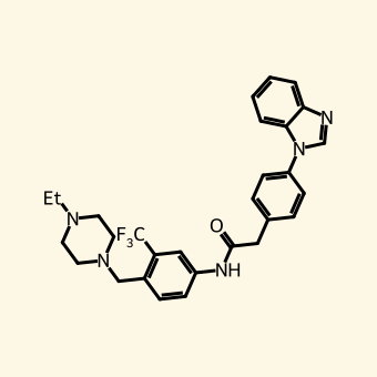 CCN1CCN(Cc2ccc(NC(=O)Cc3ccc(-n4cnc5ccccc54)cc3)cc2C(F)(F)F)CC1